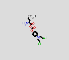 N[C@@H](CCC(=O)O)C(=O)OC(=O)Oc1ccc(N(CCCl)CCCl)cc1